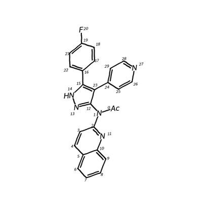 CC(=O)N(c1ccc2ccccc2n1)c1n[nH]c(-c2ccc(F)cc2)c1-c1ccncc1